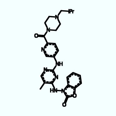 Cc1cnc(Nc2ccc(C(=O)N3CCN(CC(C)C)CC3)nc2)nc1Nn1c(=O)oc2ccccc21